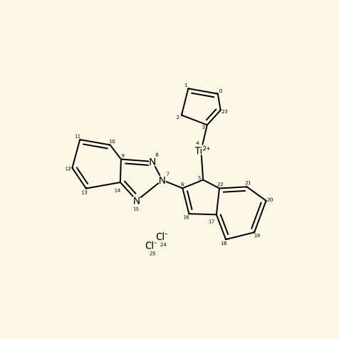 C1=CC[C]([Ti+2][CH]2C(n3nc4ccccc4n3)=Cc3ccccc32)=C1.[Cl-].[Cl-]